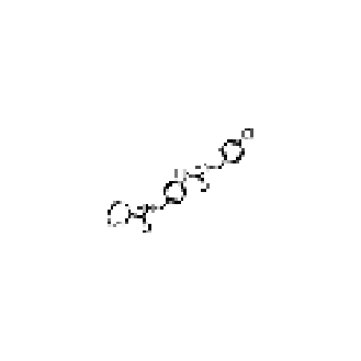 O=C(NCc1ccc(Cl)cc1)Nc1ccc(CNC(=O)C2CCCOC2)cc1